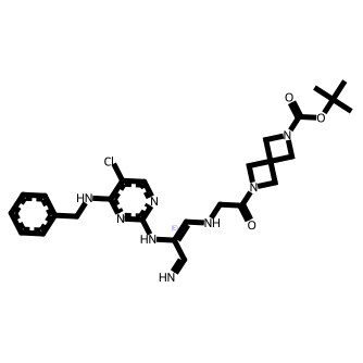 CC(C)(C)OC(=O)N1CC2(CN(C(=O)CN/C=C(\C=N)Nc3ncc(Cl)c(NCc4ccccc4)n3)C2)C1